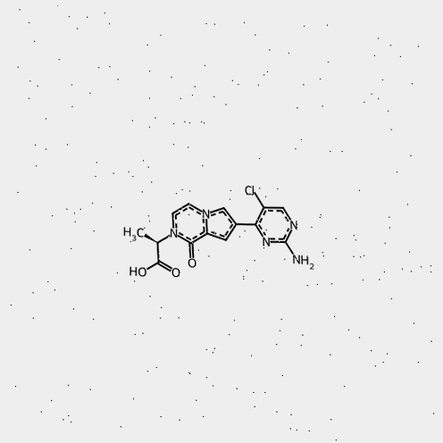 C[C@H](C(=O)O)n1ccn2cc(-c3nc(N)ncc3Cl)cc2c1=O